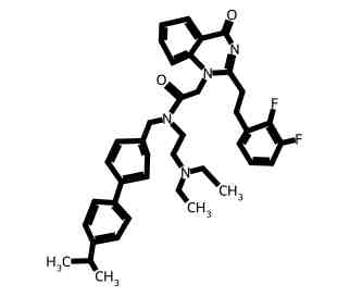 CCN(CC)CCN(Cc1ccc(-c2ccc(C(C)C)cc2)cc1)C(=O)Cn1c(CCc2cccc(F)c2F)nc(=O)c2ccccc21